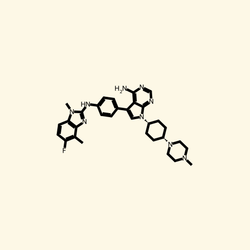 Cc1c(F)ccc2c1nc(Nc1ccc(-c3cn([C@H]4CC[C@@H](N5CCN(C)CC5)CC4)c4ncnc(N)c34)cc1)n2C